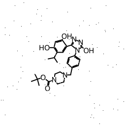 CC(C)c1cc(-c2nnc(O)n2-c2ccc(CN3CCN(C(=O)OC(C)(C)C)CC3)cc2)c(O)cc1O